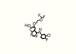 Oc1cc2ncnc(Nc3ccc(F)c(Cl)c3)c2cc1OCCOC(F)F